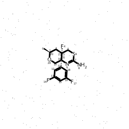 C[C@H]1C[C@@]2(F)CSC(N)=N[C@@]2(c2cc(F)cc(F)c2)CO1